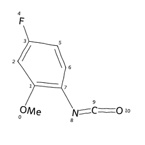 COc1cc(F)ccc1N=C=O